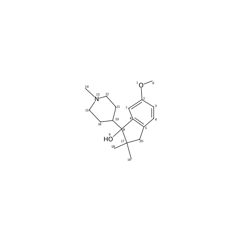 COc1ccc2c(c1)C(O)(C1CCN(C)CC1)C(C)(C)C2